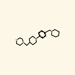 c1cc(N2CCC(CN3CCOCC3)CC2)ccc1CN1CCCCC1